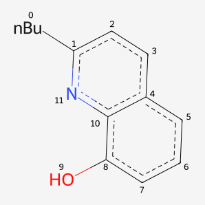 CCCCc1ccc2cccc(O)c2n1